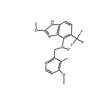 COc1nc2c([S+]([O-])Cc3nccc(OC)c3C)c(C(F)(F)F)ccc2[nH]1